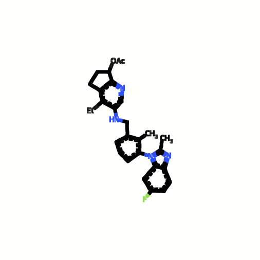 CCc1c(NCc2cccc(-n3c(C)nc4ccc(F)cc43)c2C)cnc2c1CCC2OC(C)=O